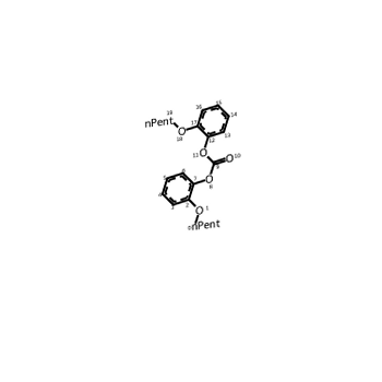 CCCCCOc1ccccc1OC(=O)Oc1ccccc1OCCCCC